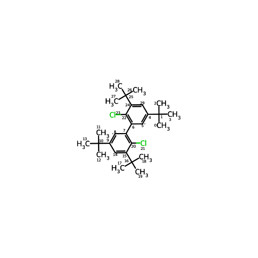 CC(C)(C)c1[c]c(-c2[c]c(C(C)(C)C)cc(C(C)(C)C)c2Cl)c(Cl)c(C(C)(C)C)c1